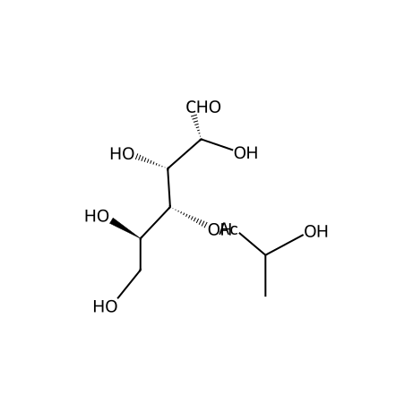 CC(=O)C(C)O.O=C[C@H](O)[C@@H](O)[C@H](O)[C@H](O)CO